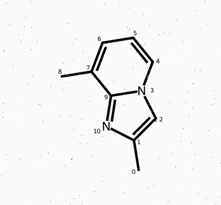 Cc1[c]n2cccc(C)c2n1